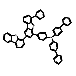 c1ccc(-c2ccc(N(c3ccc(-c4ccccc4)cc3)c3ccc(-c4cc(-c5cccc6c5sc5ccccc56)cc5c4oc4c(-c6ccccc6)cccc45)cc3)cc2)cc1